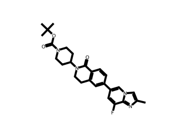 Cc1cn2cc(-c3ccc4c(c3)CCN(C3CCN(C(=O)OC(C)(C)C)CC3)C4=O)cc(F)c2n1